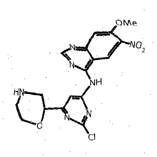 COc1cc2ncnc(Nc3cc(C4CNCCO4)nc(Cl)n3)c2cc1[N+](=O)[O-]